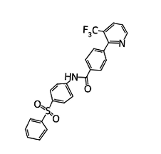 O=C(Nc1ccc(S(=O)(=O)c2ccccc2)cc1)c1ccc(-c2ncccc2C(F)(F)F)cc1